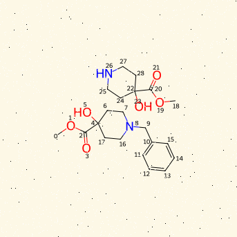 COC(=O)C1(O)CCN(Cc2ccccc2)CC1.COC(=O)C1(O)CCNCC1